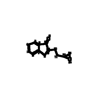 O=C1c2ccccc2CN1CCC1CO1